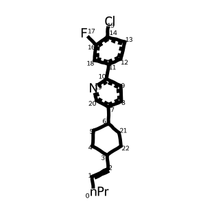 CCCC=CC1CCC(c2ccc(-c3ccc(Cl)c(F)c3)nc2)CC1